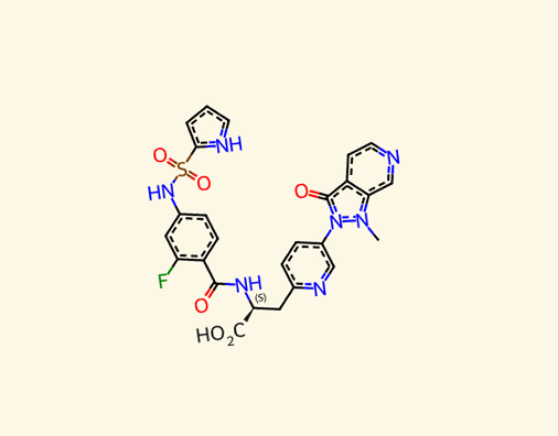 Cn1c2cnccc2c(=O)n1-c1ccc(C[C@H](NC(=O)c2ccc(NS(=O)(=O)c3ccc[nH]3)cc2F)C(=O)O)nc1